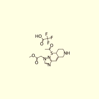 COC(=O)Cn1cnc(C=C2CNCCC2SC(C)=O)n1.O=C(O)C(F)(F)F